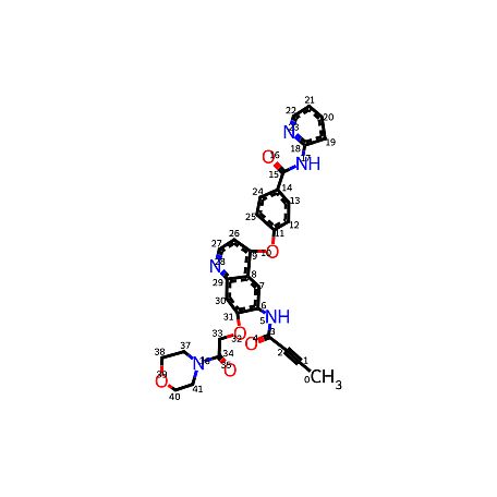 CC#CC(=O)Nc1cc2c(Oc3ccc(C(=O)Nc4ccccn4)cc3)ccnc2cc1OCC(=O)N1CCOCC1